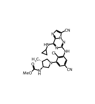 COC(=O)N[C@@H]1CN(c2cc(C#N)cc(Nc3nc(NC4CC4)c4ncc(C#N)n4n3)c2Cl)C[C@H]1C